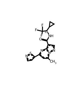 Cc1cc(-c2ccns2)nc2c(C(=O)N[C@H](C3CC3)C(F)(F)F)cnn12